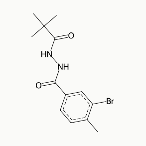 Cc1ccc(C(=O)NNC(=O)C(C)(C)C)cc1Br